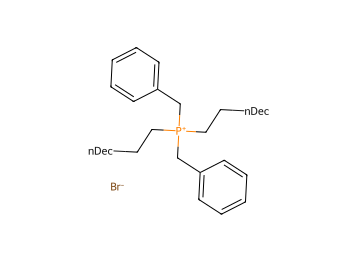 CCCCCCCCCCCC[P+](CCCCCCCCCCCC)(Cc1ccccc1)Cc1ccccc1.[Br-]